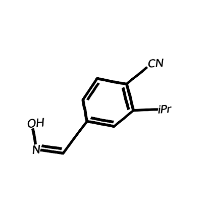 CC(C)c1cc(/C=N\O)ccc1C#N